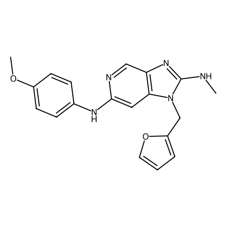 CNc1nc2cnc(Nc3ccc(OC)cc3)cc2n1Cc1ccco1